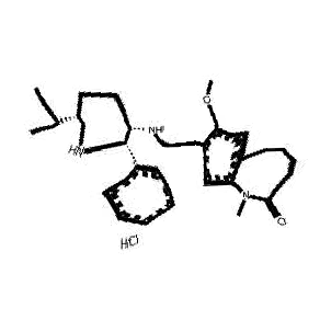 COc1cc2c(cc1CN[C@H]1CC[C@@H](C(C)C)N[C@H]1c1ccccc1)N(C)C(=O)CC2.Cl